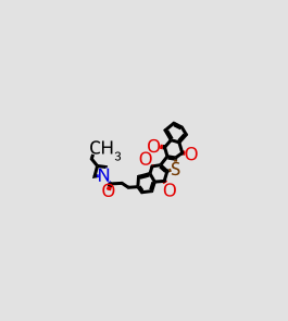 CCC1CN(C(=O)CCc2ccc3c(=O)c4sc5c(=O)c6ccccc6c(=O)c5c4c(=O)c3c2)C1